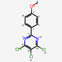 COc1ccc(-c2nc(Cl)c(Cl)c(Cl)n2)cc1